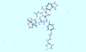 CC(C)CN(C[C@@H](O)[C@H](Cc1ccc(OCCCN2CCSC2)cc1)NC(=O)O[C@H]1CO[C@H]2OCC[C@H]21)S(=O)(=O)c1ccc2c(c1)OCO2